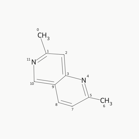 Cc1cc2nc(C)ccc2cn1